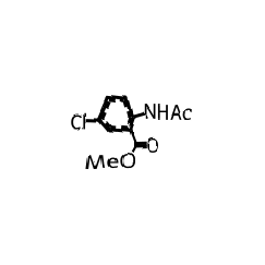 COC(=O)c1cc(Cl)ccc1NC(C)=O